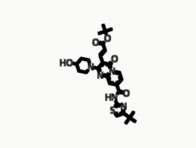 CC(C)(C)OC(=O)C=Cc1c(N2CCC(O)CC2)nc2cc(C(=O)Nc3nc(C(C)(C)C)cs3)ccn2c1=O